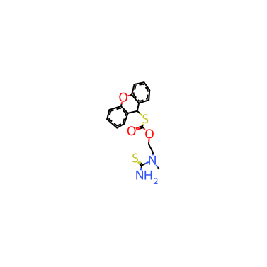 CN(CCOC(=O)SC1c2ccccc2Oc2ccccc21)C(N)=S